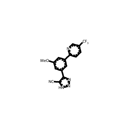 COc1cc(-c2ccc(C(F)(F)F)cn2)cc(-c2nn[nH]c2C#N)c1